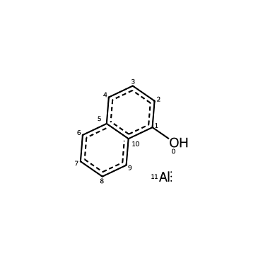 Oc1cccc2ccccc12.[Al]